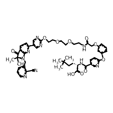 CC(C)(C)CC[C@H](NC(=O)c1ccc(Oc2cccc(OCC(=O)NCCOCCOCCOc3ncc(-c4ccc5c(n4)N(Cc4cccnc4C#N)C(C)(C)C5=O)cn3)c2)nc1)C(=O)O